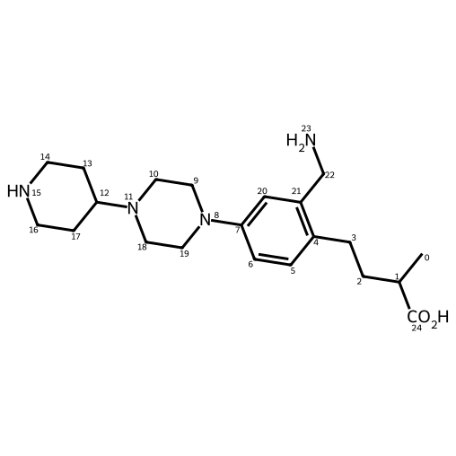 CC(CCc1ccc(N2CCN(C3CCNCC3)CC2)cc1CN)C(=O)O